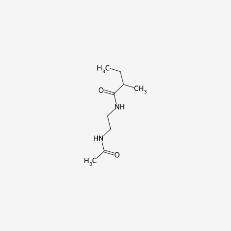 CCC(C)C(=O)NCCNC(C)=O